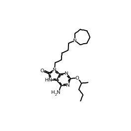 CCCC(C)Oc1nc(N)c2[nH]c(=O)n(CCCCCN3CCCCCC3)c2n1